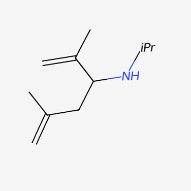 C=C(C)CC(NC(C)C)C(=C)C